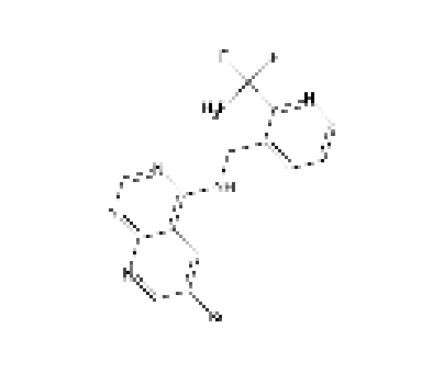 FC(F)(P)c1ncccc1CNc1ncnc2ncc(Br)cc12